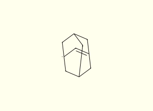 C1=C2CC3C[C]1CC(C2)C3